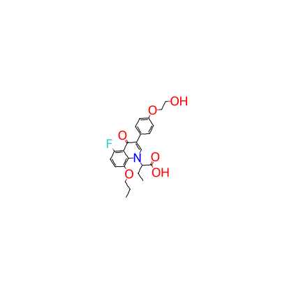 CCCOc1ccc(F)c2c(=O)c(-c3ccc(OCCO)cc3)cn(C(CC)C(=O)O)c12